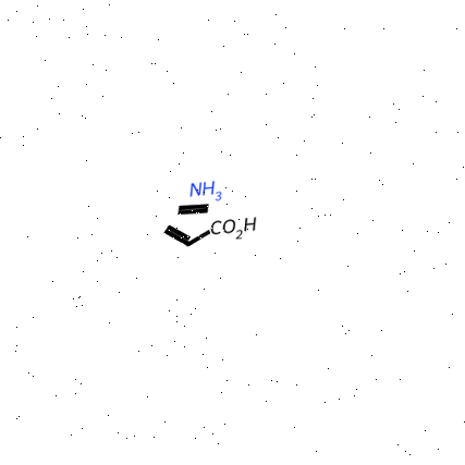 C=C.C=CC(=O)O.N